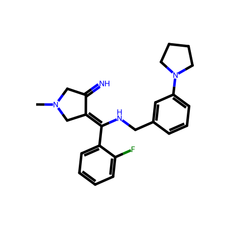 CN1CC(=N)/C(=C(\NCc2cccc(N3CCCC3)c2)c2ccccc2F)C1